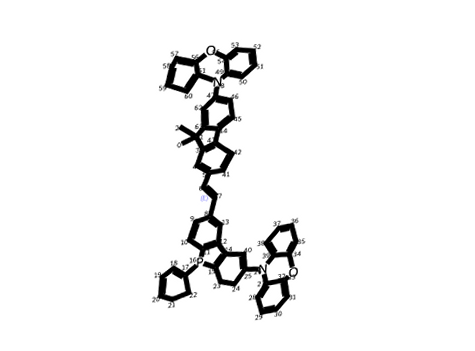 CC1(C)c2cc(/C=C/c3ccc4c(c3)c3c(p4C4=CC=CCC4)CCC(N4c5ccccc5Oc5ccccc54)=C3)ccc2-c2ccc(N3c4ccccc4Oc4ccccc43)cc21